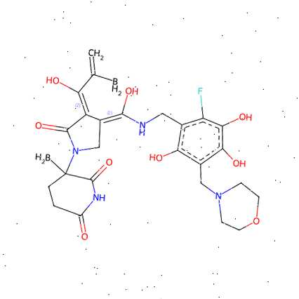 BC(=C)/C(O)=C1/C(=O)N(C2(B)CCC(=O)NC2=O)C/C1=C(/O)NCc1c(O)c(CN2CCOCC2)c(O)c(O)c1F